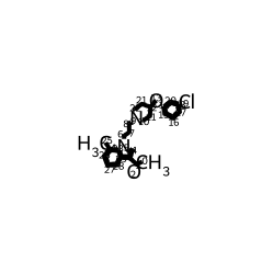 CC(=O)c1cn(CCCN2CCC(Oc3cccc(Cl)c3)CC2)c2c(C)cccc12